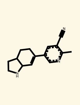 Cc1ncc(C2=CC3NCCC3CC2)cc1C#N